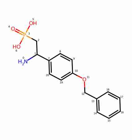 NC(CP(=O)(O)O)c1ccc(OCc2ccccc2)cc1